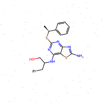 CC(C)CC(CO)Nc1nc(S[C@@H](C)c2ccccc2)nc2nc(N)sc12